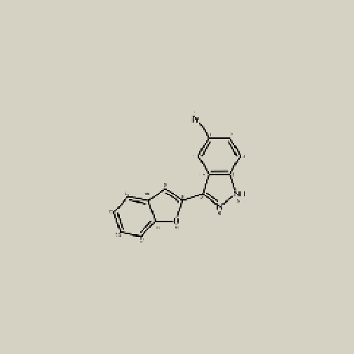 [CH2]C(C)c1ccc2[nH]nc(-c3cc4ccccc4o3)c2c1